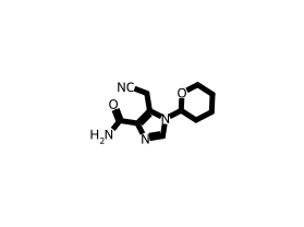 N#CCc1c(C(N)=O)ncn1C1CCCCO1